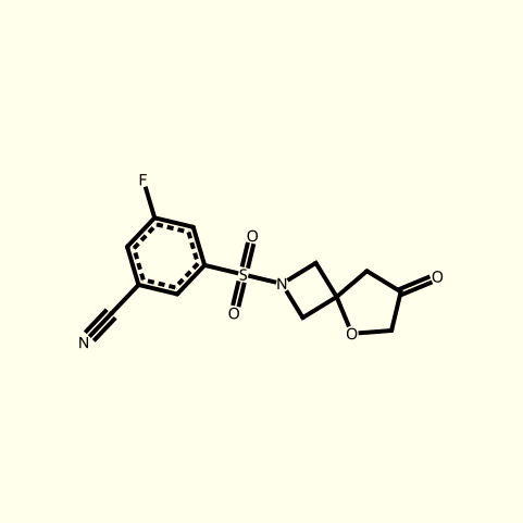 N#Cc1cc(F)cc(S(=O)(=O)N2CC3(CC(=O)CO3)C2)c1